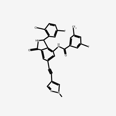 Cn1cc(C#Cc2cc(NC(=O)c3cc(F)cc(C(F)(F)F)c3)c3c(c2)C(=O)NC3c2cc(F)ccc2Cl)cn1